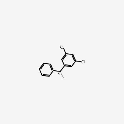 C[C@H](c1ccccc1)c1cc(Cl)cc(Cl)c1